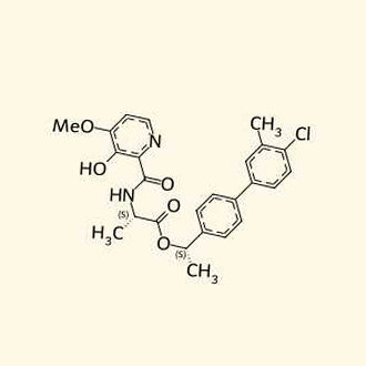 COc1ccnc(C(=O)N[C@@H](C)C(=O)O[C@@H](C)c2ccc(-c3ccc(Cl)c(C)c3)cc2)c1O